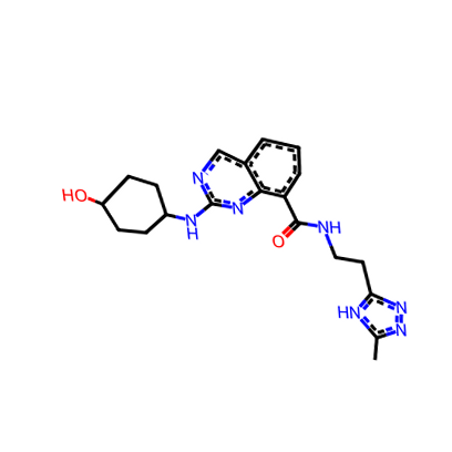 Cc1nnc(CCNC(=O)c2cccc3cnc(NC4CCC(O)CC4)nc23)[nH]1